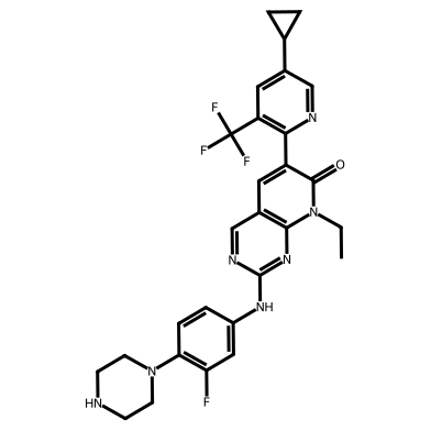 CCn1c(=O)c(-c2ncc(C3CC3)cc2C(F)(F)F)cc2cnc(Nc3ccc(N4CCNCC4)c(F)c3)nc21